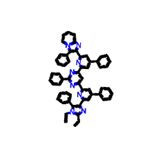 C=Cc1nc(-c2cc(-c3ccccc3)cc(-c3cc(-c4cc(-c5ccccc5)cc(-c5nc6ccccn6c5-c5ccccc5)n4)nc(-c4ccccc4)n3)n2)c(-c2ccccc2)n1C=C